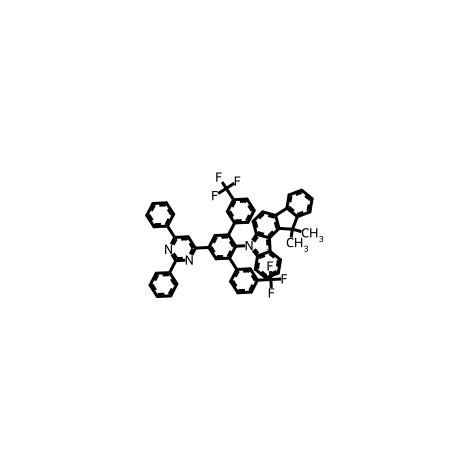 CC1(C)c2ccccc2-c2ccc3c(c21)c1ccccc1n3-c1c(-c2cccc(C(F)(F)F)c2)cc(-c2cc(-c3ccccc3)nc(-c3ccccc3)n2)cc1-c1cccc(C(F)(F)F)c1